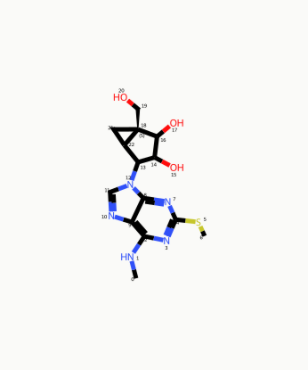 CNc1nc(SC)nc2c1ncn2C1C(O)C(O)[C@@]2(CO)CC12